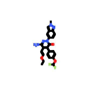 CCO/C=C/c1c(N)nn(-c2ccc3nn(C)cc3c2)c(=O)c1-c1ccc(OC(F)F)cc1